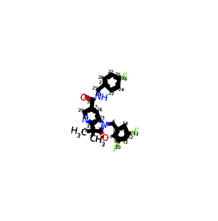 CC1(C)C(=O)N(Cc2cc(F)cc(F)c2)c2cc(C(=O)NCc3ccc(F)cc3)cnc21